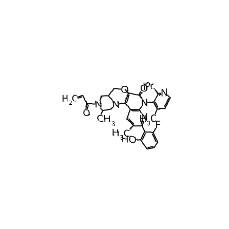 C=CC(=O)N1CC2COc3c(c4cc(C)c(-c5c(O)cccc5F)nc4n(-c4c(C)ccnc4C(C)C)c3=O)N2CC1C